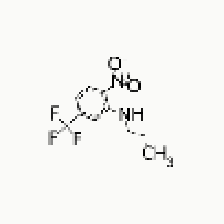 CCCNc1cc(C(F)(F)F)ccc1[N+](=O)[O-]